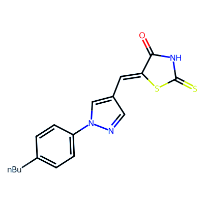 CCCCc1ccc(-n2cc(/C=C3\SC(=S)NC3=O)cn2)cc1